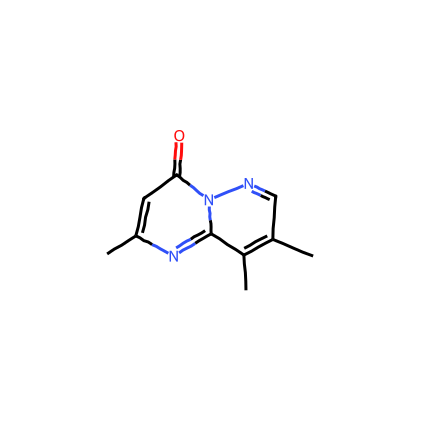 Cc1cc(=O)n2ncc(C)c(C)c2n1